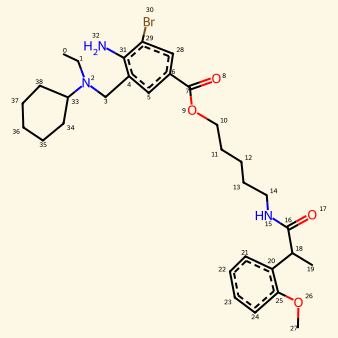 CCN(Cc1cc(C(=O)OCCCCCNC(=O)C(C)c2ccccc2OC)cc(Br)c1N)C1CCCCC1